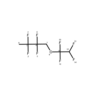 CC(F)(F)C(F)(F)COC(F)(F)C(F)F